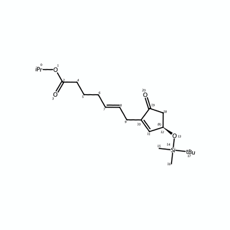 CC(C)OC(=O)CCCC=CCC1=C[C@H](O[Si](C)(C)C(C)(C)C)CC1=O